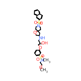 COCCN(C)S(=O)(=O)c1cccc(OC[C@@H](O)CNC2COC3(CCN(S(=O)(=O)c4ccc5ccccc5c4)CC3)C2)c1